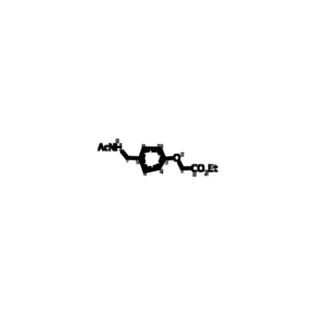 CCOC(=O)COc1ccc(CNC(C)=O)cc1